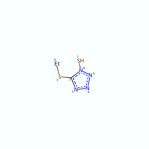 CCSc1nnnn1S